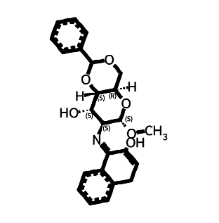 CO[C@H]1O[C@@H]2COC(c3ccccc3)O[C@H]2[C@@H](O)[C@@H]1N=C1C(O)=CCc2ccccc21